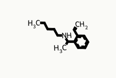 C=Cc1ccccc1C(C)NCCCCC